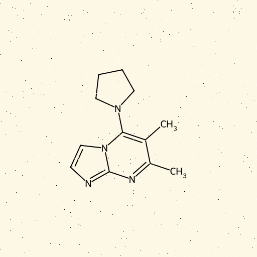 Cc1nc2nccn2c(N2CCCC2)c1C